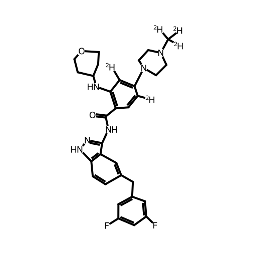 [2H]c1cc(C(=O)Nc2n[nH]c3ccc(Cc4cc(F)cc(F)c4)cc23)c(NC2CCOCC2)c([2H])c1N1CCN(C([2H])([2H])[2H])CC1